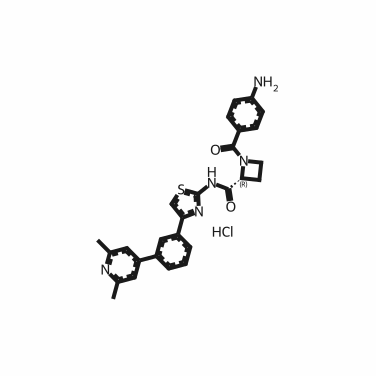 Cc1cc(-c2cccc(-c3csc(NC(=O)[C@H]4CCN4C(=O)c4ccc(N)cc4)n3)c2)cc(C)n1.Cl